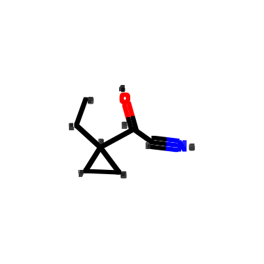 CCC1(C(=O)C#N)CC1